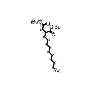 CC(=O)CCCCCCCCCC(CC(=O)OCC(C)C)C(=O)OCC(C)C